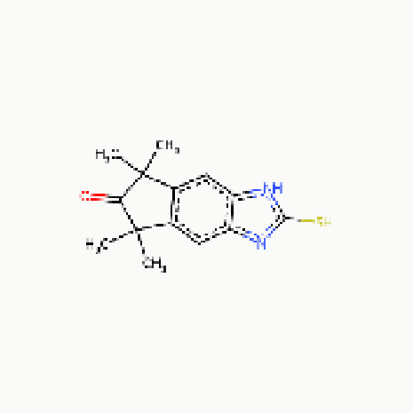 CC1(C)C(=O)C(C)(C)c2cc3[nH]c(S)nc3cc21